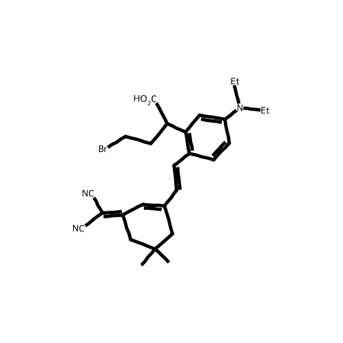 CCN(CC)c1ccc(/C=C/C2=CC(=C(C#N)C#N)CC(C)(C)C2)c(C(CCBr)C(=O)O)c1